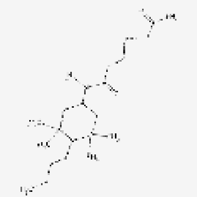 CCCCN1C(C)(C)CC(N(N)C(=O)CCCCC(N)=O)CC1(C)C